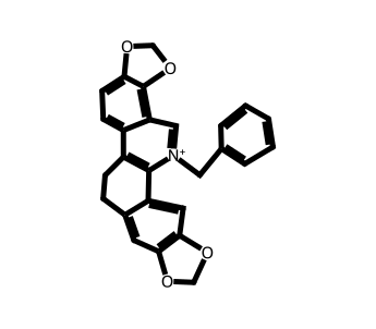 c1ccc(C[n+]2cc3c4c(ccc3c3c2-c2cc5c(cc2CC3)OCO5)OCO4)cc1